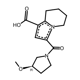 CO[C@@H]1CCN(C(=O)c2cc(C(=O)O)c3n2CCCC3)C1